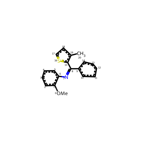 COc1ccccc1N=C(c1ccccc1)c1sccc1C